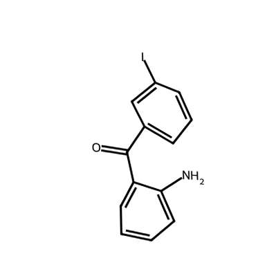 Nc1ccccc1C(=O)c1cccc(I)c1